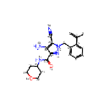 C=C(C)c1ccccc1Cn1nc(C(=O)NC2CCOCC2)c(N)c1C#N